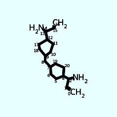 C=CC(N)C1CCC(CC2CCC(C(N)C=C)CC2)CC1